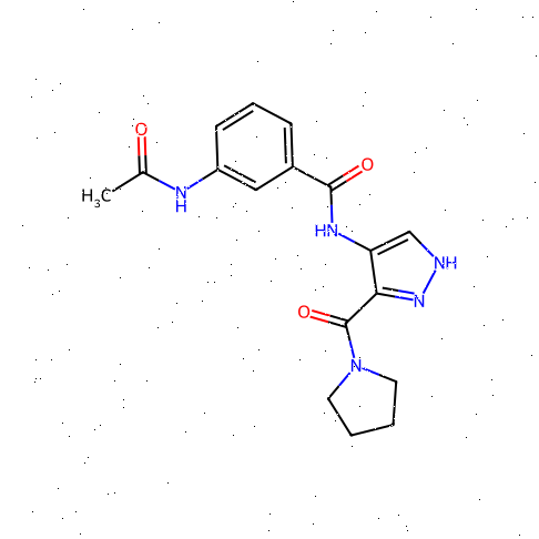 CC(=O)Nc1cccc(C(=O)Nc2c[nH]nc2C(=O)N2CCCC2)c1